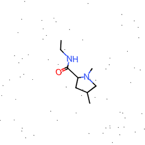 CCNC(=O)C1CC(C)CN1C